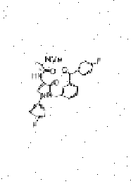 CN[C@@H](C)C(=O)Nc1cn(-c2ccc(F)cc2)n(Cc2cccc(C(=O)c3ccc(F)cc3)c2)c1=O